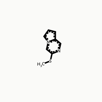 CSc1cn2cccc2cn1